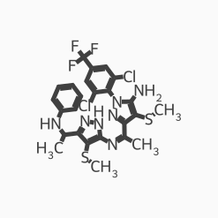 CSc1c(C(C)Nc2ccccc2)n[nH]c1N=C(C)c1nn(-c2c(Cl)cc(C(F)(F)F)cc2Cl)c(N)c1SC